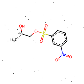 C[C@H](O)COS(=O)(=O)c1cccc([N+](=O)[O-])c1